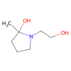 CC1(O)CCCN1CCO